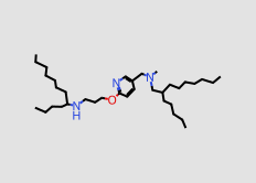 CCCCCCCC(CCCCC)CN(C)Cc1ccc(OCCCNC(CCCC)CCCCCCC)nc1